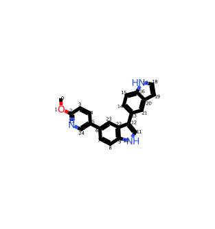 COc1ccc(-c2ccc3[nH]cc(-c4ccc5[nH]ccc5c4)c3c2)cn1